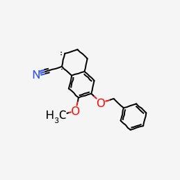 COc1cc2c(cc1OCc1ccccc1)CC[C][C]2C#N